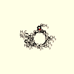 CC[C@H](C)[C@H]1NC(=O)[C@@H](NC(=O)[C@@H](CC(C)C)N(C)C(=O)[C@@H]2CCCN2C(=O)[C@H](C)O)COC(=O)[C@H](Cc2ccc(OC)cc2)N(C)C(=O)[C@@H]2CCCN2C(=O)[C@H](CC(C)C)NC(=O)[C@@H](C)C(=O)[C@H](C(C)C)OC(=O)C[C@@H]1O